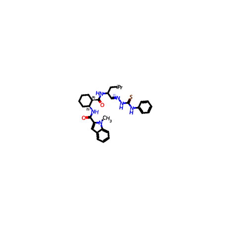 CC(C)CC(/C=N/NC(=S)Nc1ccccc1)NC(=O)[C@@H]1CCCC[C@@H]1NC(=O)c1cc2ccccc2n1C